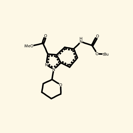 COC(=O)c1nn(C2CCCCO2)c2ccc(NC(=O)OC(C)(C)C)cc12